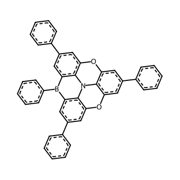 c1ccc(B2c3cc(-c4ccccc4)cc4c3N3c5c(cc(-c6ccccc6)cc5Oc5cc(-c6ccccc6)cc2c53)O4)cc1